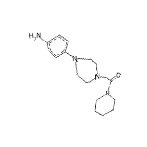 Nc1ccc(N2CCN(C(=O)N3CCCCC3)CC2)cc1